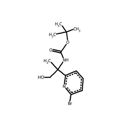 CC(C)(C)OC(=O)NC(C)(CO)c1cccc(Br)n1